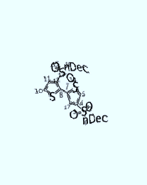 CCCCCCCCCCS(=O)(=O)c1csc(-c2sccc2S(=O)(=O)CCCCCCCCCC)c1